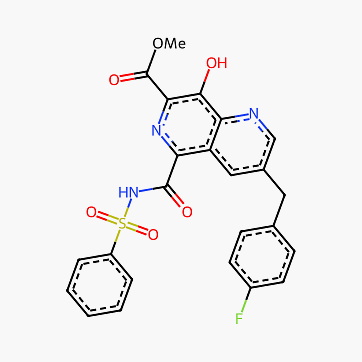 COC(=O)c1nc(C(=O)NS(=O)(=O)c2ccccc2)c2cc(Cc3ccc(F)cc3)cnc2c1O